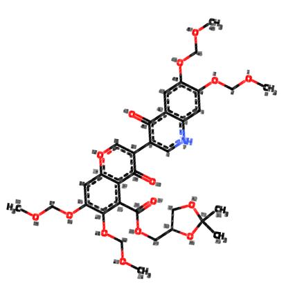 COCOc1cc2[nH]cc(-c3coc4cc(OCOC)c(OCOC)c(C(=O)OCC5COC(C)(C)O5)c4c3=O)c(=O)c2cc1OCOC